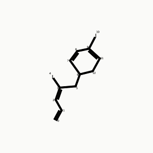 C=C/C=C(/I)CC1C=CC(I)=CC1